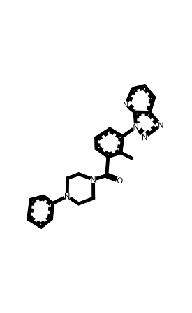 Cc1c(C(=O)N2CCN(c3ccccc3)CC2)cccc1-n1nnc2cccnc21